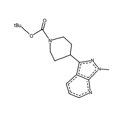 Cn1nc(C2CCN(C(=O)OC(C)(C)C)CC2)c2cccnc21